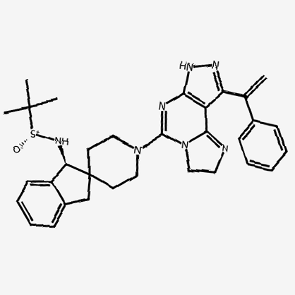 C=C(c1ccccc1)c1n[nH]c2c1C1=NCCN1C(N1CCC3(CC1)Cc1ccccc1[C@H]3N[S@+]([O-])C(C)(C)C)=N2